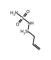 C=CC[SiH2]NS(N)(=O)=O